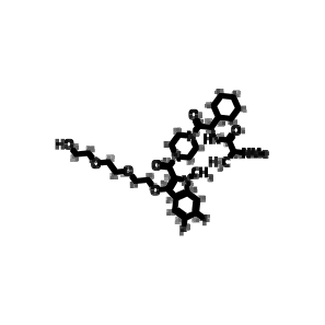 CNC(C)C(=O)N[C@H](C(=O)N1CCN(C(=O)c2c(OCCOCCOCCO)c3cc(F)c(F)cc3n2C)CC1)C1CCCCC1